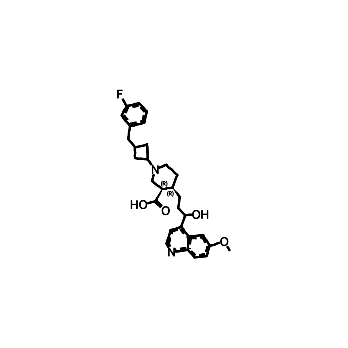 COc1ccc2nccc(C(O)CC[C@@H]3CCN(C4CC(Cc5cccc(F)c5)C4)C[C@@H]3C(=O)O)c2c1